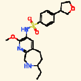 CCC1CCc2cc(NS(=O)(=O)c3ccc(C4CCOC4)cc3)c(OC)nc2CN1